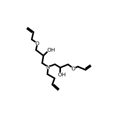 C=CCCN(CC(O)COCC=C)CC(O)COCC=C